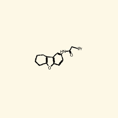 CC(C)CC(=O)Nc1ccc2oc3c(c2c1)CCCC3